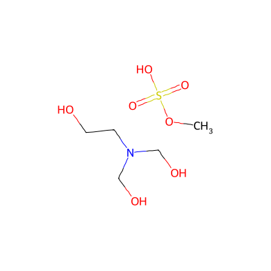 COS(=O)(=O)O.OCCN(CO)CO